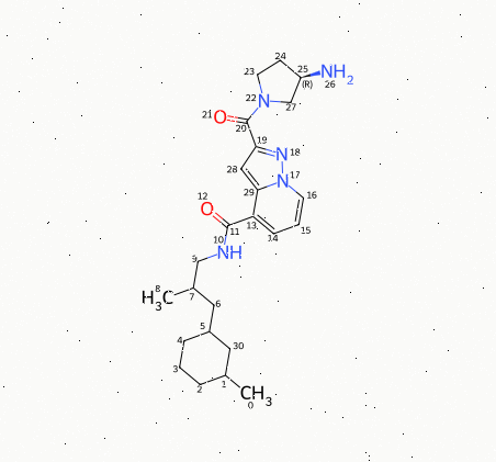 CC1CCCC(CC(C)CNC(=O)c2cccn3nc(C(=O)N4CC[C@@H](N)C4)cc23)C1